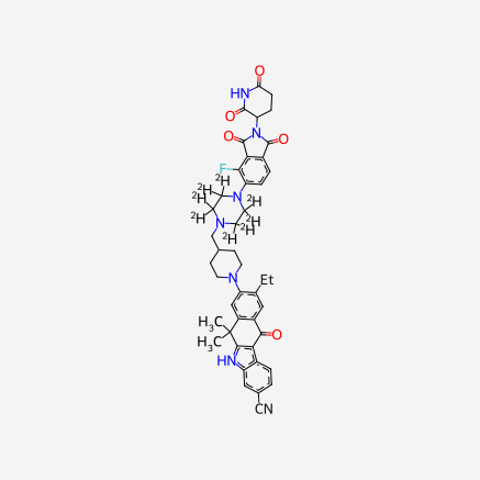 [2H]C1([2H])N(CC2CCN(c3cc4c(cc3CC)C(=O)c3c([nH]c5cc(C#N)ccc35)C4(C)C)CC2)C([2H])([2H])C([2H])([2H])N(c2ccc3c(c2F)C(=O)N(C2CCC(=O)NC2=O)C3=O)C1([2H])[2H]